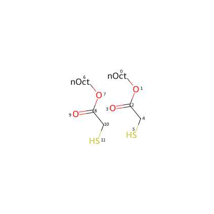 CCCCCCCCOC(=O)CS.CCCCCCCCOC(=O)CS